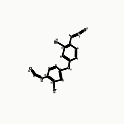 O=C=Nc1ccc(Oc2ccc(N=C=O)c(Br)c2)cc1Br